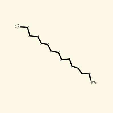 [SiH3]CCCCCCCCCCCCCC(Cl)(Cl)Cl